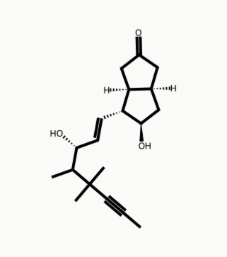 CC#CC(C)(C)C(C)[C@H](O)/C=C/[C@@H]1[C@H]2CC(=O)C[C@H]2C[C@H]1O